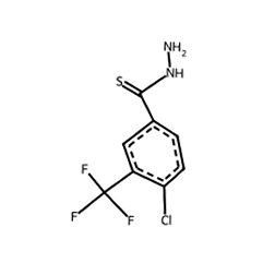 NNC(=S)c1ccc(Cl)c(C(F)(F)F)c1